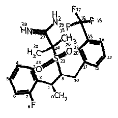 C[C@@H](c1ccccc1F)[C@H](Cc1cccc(C(F)(F)F)c1)S(=O)(=O)C(C)(C)C(=N)N